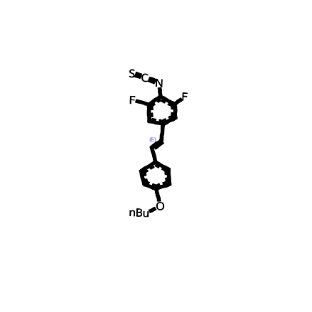 CCCCOc1ccc(/C=C/c2cc(F)c(N=C=S)c(F)c2)cc1